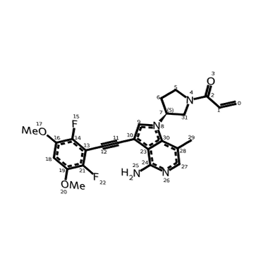 C=CC(=O)N1CC[C@H](n2cc(C#Cc3c(F)c(OC)cc(OC)c3F)c3c(N)ncc(C)c32)C1